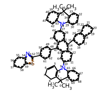 CC1(C)C2=C(C=CCC2)N(c2ccc3c(-c4ccc5ccccc5c4)c4cc(N5c6ccccc6C(C)(C)c6ccccc65)ccc4c(-c4ccc(-c5nc6ccccc6s5)cc4)c3c2)c2ccccc21